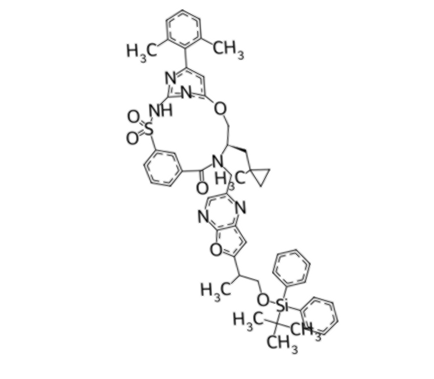 Cc1cccc(C)c1-c1cc2nc(n1)NS(=O)(=O)c1cccc(c1)C(=O)N(Cc1cnc3oc(C(C)CO[Si](c4ccccc4)(c4ccccc4)C(C)(C)C)cc3n1)[C@H](CC1(C)CC1)CO2